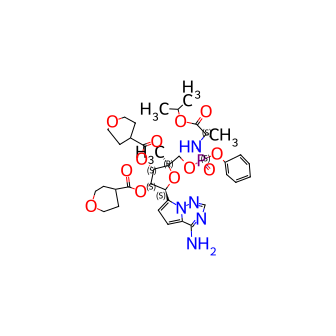 CC(C)OC(=O)[C@H](C)N[P@](=O)(OC[C@@]1(C)O[C@@H](c2ccc3c(N)ncnn23)[C@H](OC(=O)C2CCOCC2)[C@@H]1OC(=O)C1CCOCC1)Oc1ccccc1